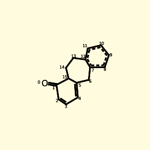 O=C1C=CC=C2Cc3ccccc3CCC12